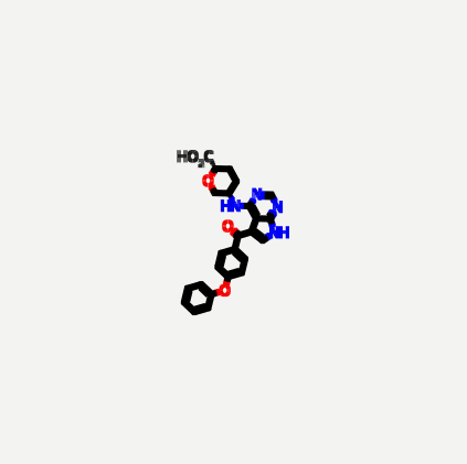 O=C(c1ccc(Oc2ccccc2)cc1)c1c[nH]c2ncnc(N[C@@H]3CC[C@@H](C(=O)O)OC3)c12